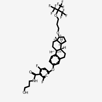 C[C@]12CC[C@@H]3c4ccc(Oc5cc(F)c(C(=O)NCCCO)c(F)c5)cc4CC[C@H]3[C@@H]1CC[C@@H]2OCCCOC(C(F)(F)F)(C(F)(F)F)C(F)(F)F